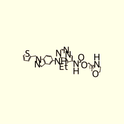 CCc1c(NC(=O)OC[C@@H]2COCCN2)cn2ncnc(Nc3ccc4c(cnn4Cc4cccs4)c3)c12